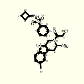 CCCC[C@H]1Cc2c([nH]c3ccc(F)cc23)[C@H](c2ccc(S(=O)(=O)NC3CCC3)cc2)N1C(=O)CCl